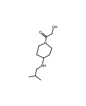 CC(C)CNC1CCN(C(=O)CO)CC1